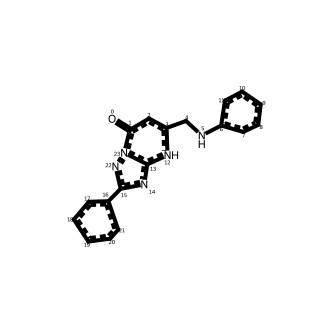 O=c1cc(CNc2ccccc2)[nH]c2nc(-c3ccccc3)nn12